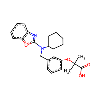 CC(C)(Oc1cccc(CN(c2nc3ccccc3o2)C2CCCCC2)c1)C(=O)O